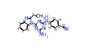 CCc1nc2ccccc2n1-c1nc(N)nc(Nc2ccc(C#N)cc2)n1